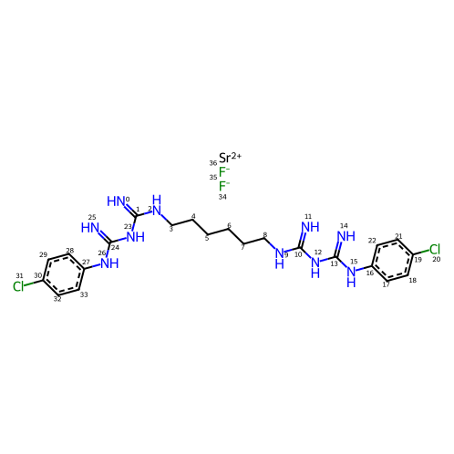 N=C(NCCCCCCNC(=N)NC(=N)Nc1ccc(Cl)cc1)NC(=N)Nc1ccc(Cl)cc1.[F-].[F-].[Sr+2]